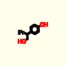 CC(C)C(CO)c1ccc(O)cc1